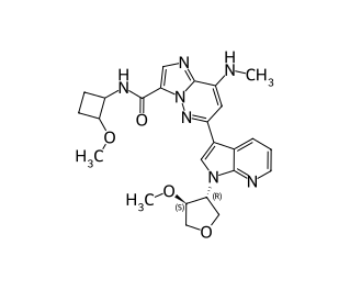 CNc1cc(-c2cn([C@@H]3COC[C@H]3OC)c3ncccc23)nn2c(C(=O)NC3CCC3OC)cnc12